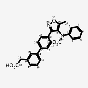 CCOC(=O)N(c1ccccc1)c1c(-c2ccc(-c3cccc(CC(=O)O)c3)cc2)noc1C